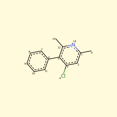 Cc1cc(Cl)c(-c2cc[c]cc2)c(C)n1